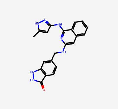 Cc1cc(Nc2nc(NCc3ccc4c(=O)[nH][nH]c4c3)cc3ccccc23)n[nH]1